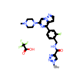 CN1CCN(c2cn3nccc3c(-c3ccc(CNC(=O)c4cn(C(C)(C)C)nn4)c(F)c3)n2)CC1.O=C(O)C(F)(F)F